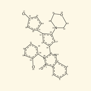 O=c1c2ccccc2nc(-c2cc(-c3ccc(Cl)cc3)c(N3CCOCC3)s2)n1-c1ccccc1Cl